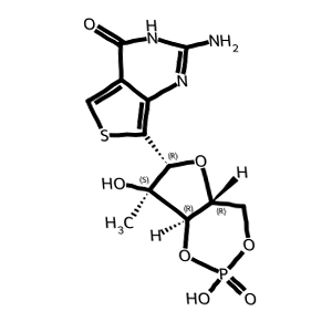 C[C@@]1(O)[C@@H]2OP(=O)(O)OC[C@H]2O[C@H]1c1scc2c(=O)[nH]c(N)nc12